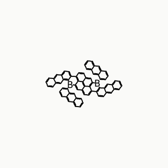 c1ccc2cc3c(B4c5c(ccc6cc7ccccc7cc56)-c5ccc6cc7c8c(ccc9cc4c5c6c98)-c4ccc5cc6ccccc6cc5c4B7c4cccc5cc6ccccc6cc45)cccc3cc2c1